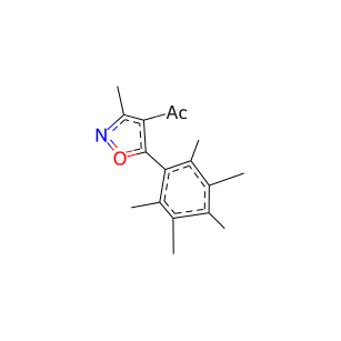 CC(=O)c1c(C)noc1-c1c(C)c(C)c(C)c(C)c1C